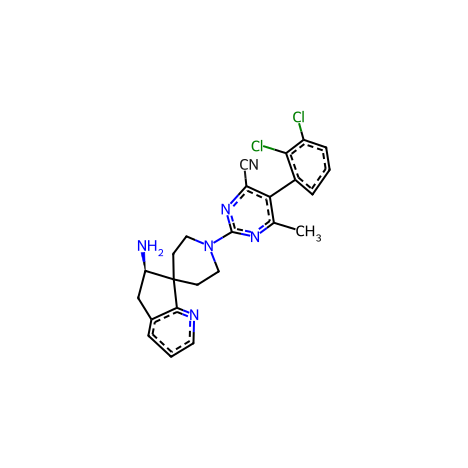 Cc1nc(N2CCC3(CC2)c2ncccc2C[C@H]3N)nc(C#N)c1-c1cccc(Cl)c1Cl